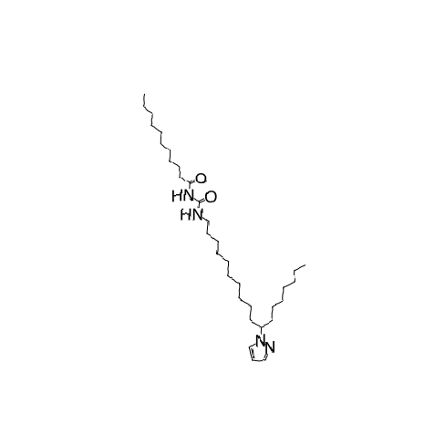 CCCCCCCCCCC(=O)NC(=O)NCCCCCCCCCCC(CCCCCCC)n1cccn1